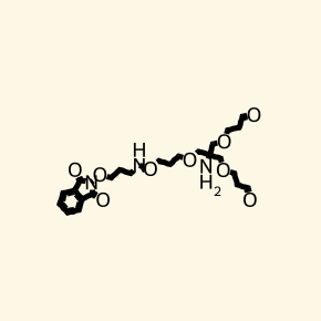 NC(COCCC=O)(COCCC=O)COCCCONCCCON1C(=O)c2ccccc2C1=O